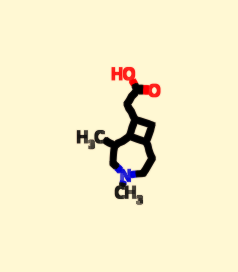 CC1CN(C)CCC2CC(CC(=O)O)C12